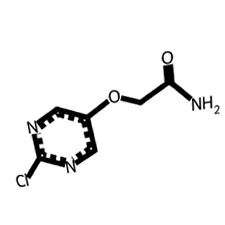 NC(=O)COc1cnc(Cl)nc1